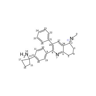 C/N=C1\CCCc2nc(-c3ccc(C4(N)CCC4)cc3)c(-c3ccccc3)cc21